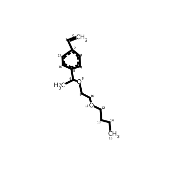 C=Cc1ccc(C(C)OCCOCCCC)cc1